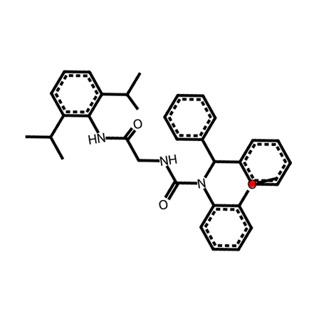 COc1ccccc1N(C(=O)NCC(=O)Nc1c(C(C)C)cccc1C(C)C)C(c1ccccc1)c1ccccc1